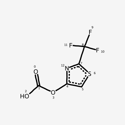 O=C(O)Oc1csc(C(F)(F)F)n1